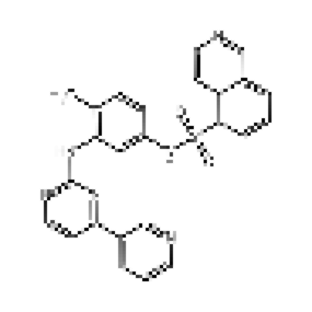 Cc1ccc(NS(=O)(=O)c2cccc3cnccc23)cc1Nc1nccc(-c2cccnc2)n1